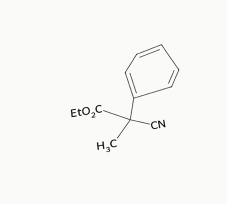 CCOC(=O)C(C)(C#N)c1ccccc1